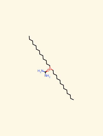 CCCCCCCCCCCCCOCCCCCCCCCCCCC.NC(N)=O